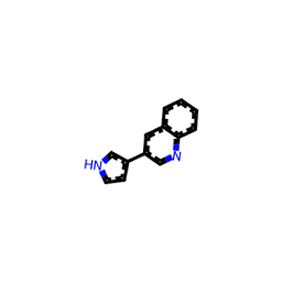 c1ccc2ncc(-c3cc[nH]c3)cc2c1